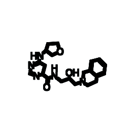 O=C(NC[C@H](O)CN1CCc2ccccc2C1)C1CC(NC2CCOC2)=NC=N1